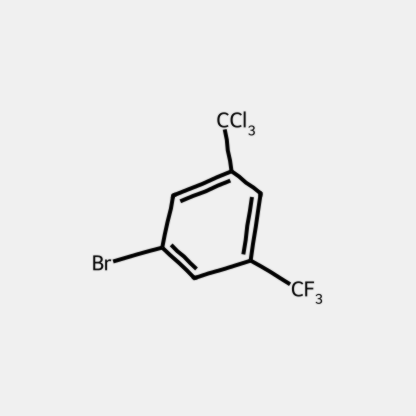 FC(F)(F)c1cc(Br)cc(C(Cl)(Cl)Cl)c1